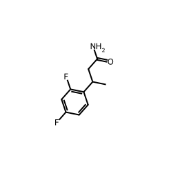 CC(CC(N)=O)c1ccc(F)cc1F